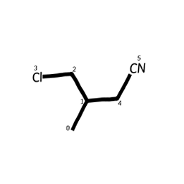 CC(CCl)CC#N